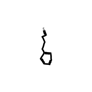 S=[C]CCCc1ccccc1